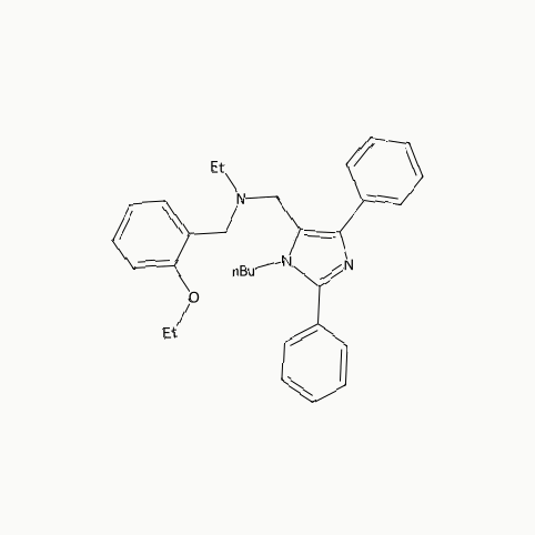 CCCCn1c(-c2ccccc2)nc(-c2ccccc2)c1CN(CC)Cc1ccccc1OCC